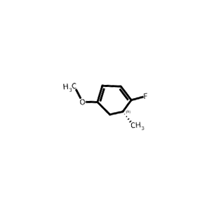 COC1=CC=C(F)[C@H](C)C1